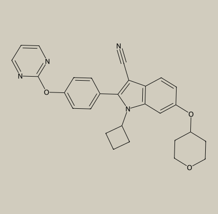 N#Cc1c(-c2ccc(Oc3ncccn3)cc2)n(C2CCC2)c2cc(OC3CCOCC3)ccc12